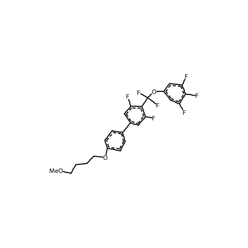 COCCCCOc1ccc(-c2cc(F)c(C(F)(F)Oc3cc(F)c(F)c(F)c3)c(F)c2)cc1